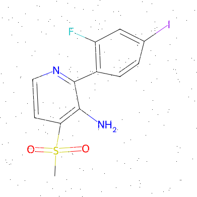 CS(=O)(=O)c1ccnc(-c2ccc(I)cc2F)c1N